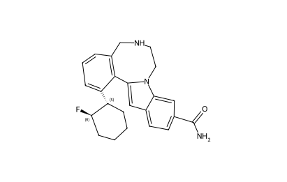 NC(=O)c1ccc2cc3n(c2c1)CCNCc1cccc([C@@H]2CCCC[C@H]2F)c1-3